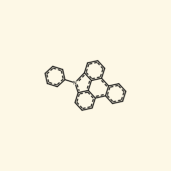 c1ccc(-n2c3cccc4c5ccccc5c5cccc2c5c43)cc1